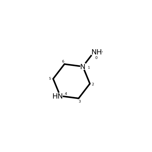 [NH]N1CCNCC1